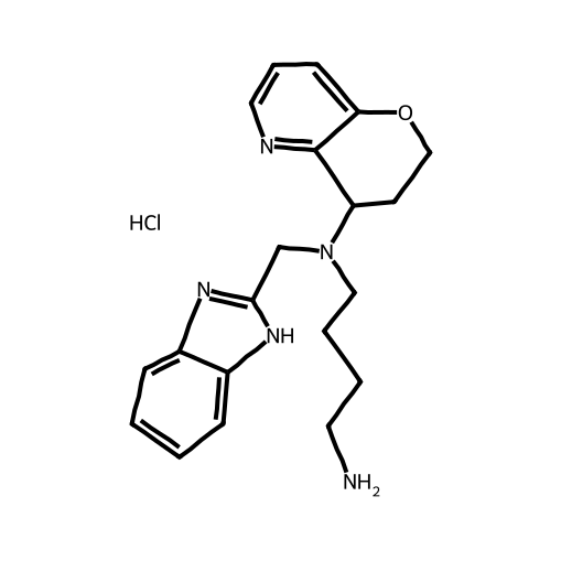 Cl.NCCCCN(Cc1nc2ccccc2[nH]1)C1CCOc2cccnc21